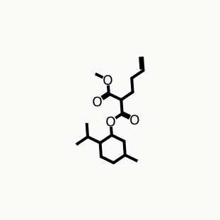 C=CCCC(C(=O)OC)C(=O)OC1CC(C)CCC1C(C)C